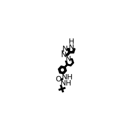 CC(C)(C)CNC(=O)Nc1cccc(C2CCCN(c3ncnc4[nH]ccc34)C2)c1